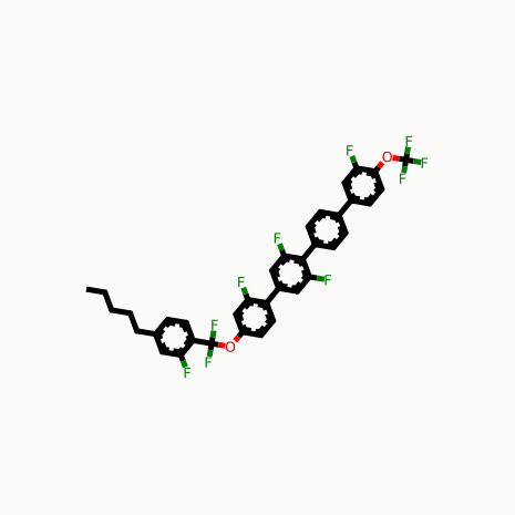 CCCCCc1ccc(C(F)(F)Oc2ccc(-c3cc(F)c(-c4ccc(-c5ccc(OC(F)(F)F)c(F)c5)cc4)c(F)c3)c(F)c2)c(F)c1